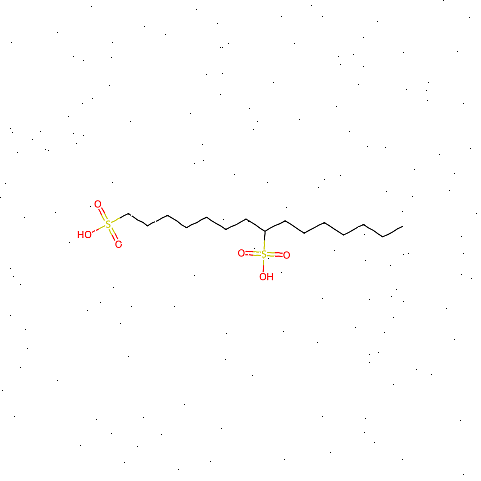 CCCCCCCC(CCCCCCCS(=O)(=O)O)S(=O)(=O)O